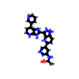 CC(C)C(O)Nc1cncc(-c2ccc3[nH]nc(-c4nc5c(-c6cccnc6)ccnc5[nH]4)c3n2)c1